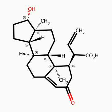 C=CC(C(=O)O)[C@H]1CC(=O)C=C2CC[C@H]3[C@@H]4CC[C@H](O)[C@@]4(C)CC[C@@H]3[C@]21C